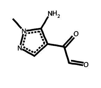 Cn1ncc(C(=O)C=O)c1N